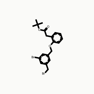 CC(C)(C)OC(=O)Cc1ccccc1OCc1cc(Br)cc(CBr)c1